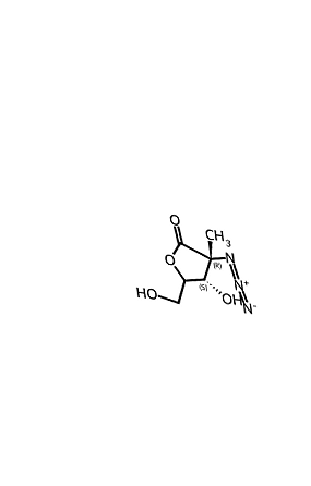 C[C@]1(N=[N+]=[N-])C(=O)OC(CO)[C@H]1O